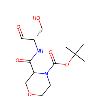 CC(C)(C)OC(=O)N1CCOCC1C(=O)N[C@H](C=O)CO